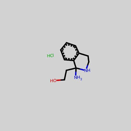 Cl.NC1(CCO)NCCc2ccccc21